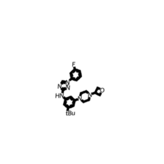 CC(C)(C)c1cc(Nc2ncn(-c3cccc(F)c3)n2)cc(N2CCN(C3COC3)CC2)c1